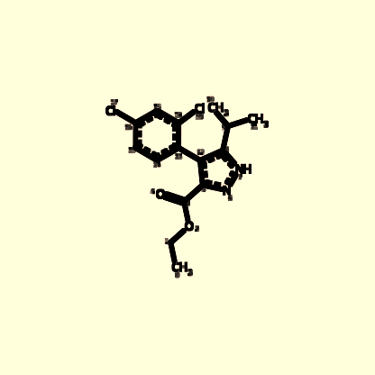 CCOC(=O)c1n[nH]c(C(C)C)c1-c1ccc(Cl)cc1Cl